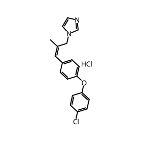 CC(=Cc1ccc(Oc2ccc(Cl)cc2)cc1)Cn1ccnc1.Cl